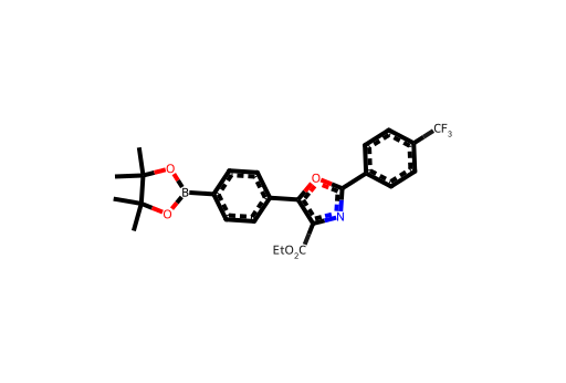 CCOC(=O)c1nc(-c2ccc(C(F)(F)F)cc2)oc1-c1ccc(B2OC(C)(C)C(C)(C)O2)cc1